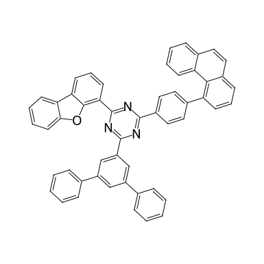 c1ccc(-c2cc(-c3ccccc3)cc(-c3nc(-c4ccc(-c5cccc6ccc7ccccc7c56)cc4)nc(-c4cccc5c4oc4ccccc45)n3)c2)cc1